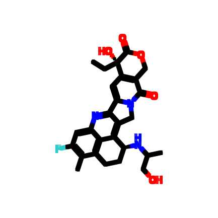 CC[C@@]1(O)C(=O)OCc2c1cc1n(c2=O)Cc2c-1nc1cc(F)c(C)c3c1c2[C@@H](NC(C)CO)CC3